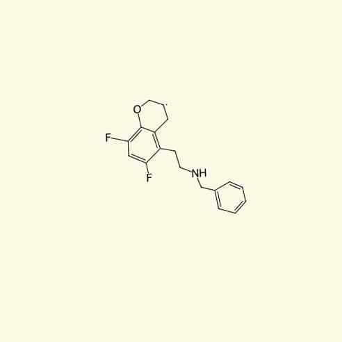 Fc1cc(F)c2c(c1CCNCc1ccccc1)C[CH]CO2